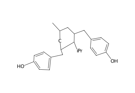 CC1CC(Cc2ccc(O)cc2)C(C(C)C)C(Cc2ccc(O)cc2)C1